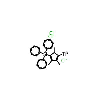 CC1=[C]([Ti+3])C(C)C([Si](c2ccccc2)(c2ccccc2)c2ccccc2)=C1C.[Cl-].[Cl-].[Cl-]